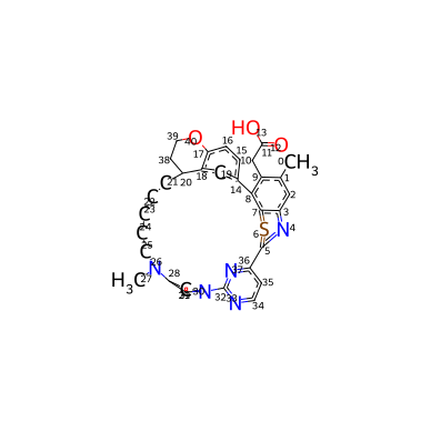 Cc1cc2nc3sc2c(c1CC(=O)O)-c1ccc2c(c1)C(CCCCCN(C)C1CN(C1)c1nccc-3n1)CCO2